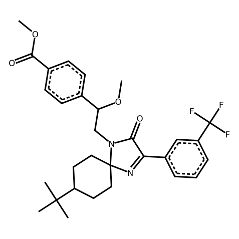 COC(=O)c1ccc(C(CN2C(=O)C(c3cccc(C(F)(F)F)c3)=NC23CCC(C(C)(C)C)CC3)OC)cc1